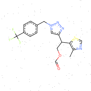 Cc1ncsc1C(COC=O)c1cn(Cc2ccc(C(F)(F)F)cc2)nn1